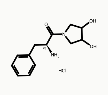 Cl.N[C@@H](Cc1ccccc1)C(=O)N1CC(O)C(O)C1